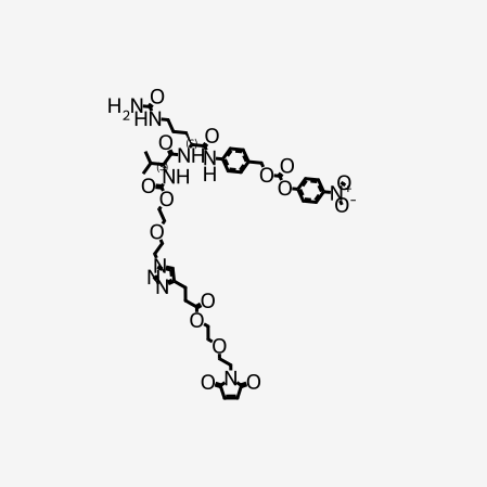 CC(C)[C@H](NC(=O)OCCOCCn1cc(CCC(=O)OCCOCCN2C(=O)C=CC2=O)nn1)C(=O)N[C@@H](CCCNC(N)=O)C(=O)Nc1ccc(COC(=O)Oc2ccc([N+](=O)[O-])cc2)cc1